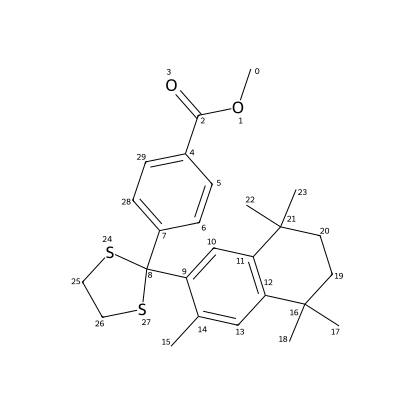 COC(=O)c1ccc(C2(c3cc4c(cc3C)C(C)(C)CCC4(C)C)SCCS2)cc1